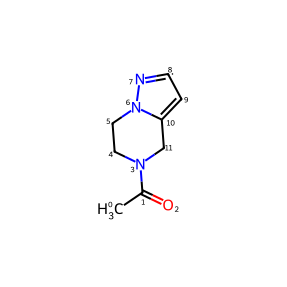 CC(=O)N1CCn2n[c]cc2C1